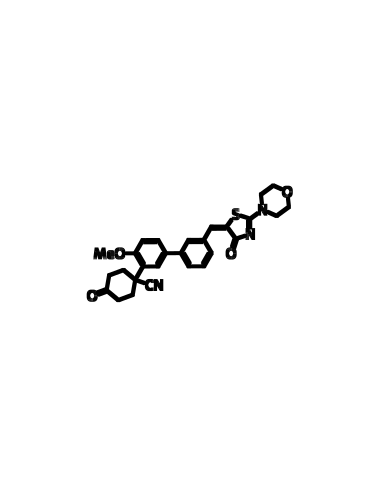 COc1ccc(-c2cccc(C=C3SC(N4CCOCC4)=NC3=O)c2)cc1C1(C#N)CCC(=O)CC1